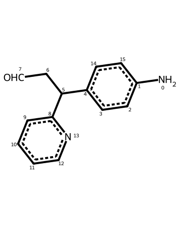 Nc1ccc(C(CC=O)c2ccccn2)cc1